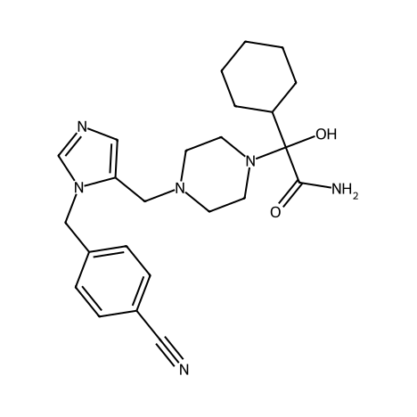 N#Cc1ccc(Cn2cncc2CN2CCN(C(O)(C(N)=O)C3CCCCC3)CC2)cc1